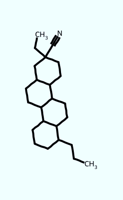 CCCC1CCCC2C1CCC1C3CCC(C#N)(CC)CC3CCC21